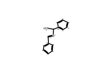 NC(/N=C/c1ccccc1)c1ccccc1